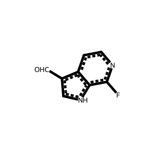 O=Cc1c[nH]c2c(F)nccc12